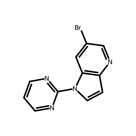 Brc1cnc2ccn(-c3ncccn3)c2c1